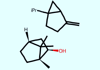 C=C1CCC2(C(C)C)CC12.CC1(C)[C@@H]2CC[C@@]1(C)[C@H](O)C2